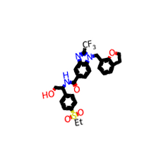 CCS(=O)(=O)c1ccc(C(CO)NC(=O)c2ccc3c(c2)nc(C(F)(F)F)n3Cc2cccc3c2OCC3)cc1